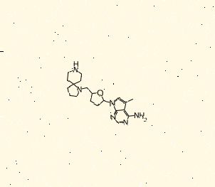 Cc1cn(C2CCC(CN3CCCC34CCNCC4)O2)c2ncnc(N)c12